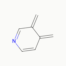 C=c1ccncc1=C